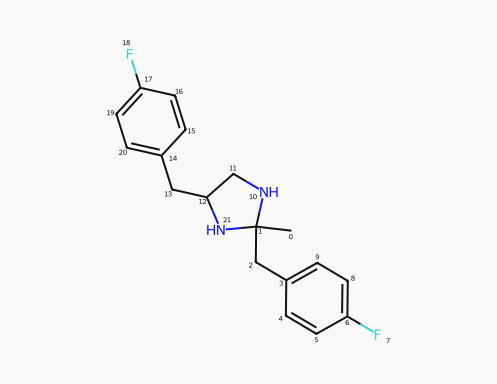 CC1(Cc2ccc(F)cc2)NCC(Cc2ccc(F)cc2)N1